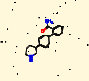 NC(=O)c1ccccc1-c1ccc([C@@H]2CCCNC2)cc1